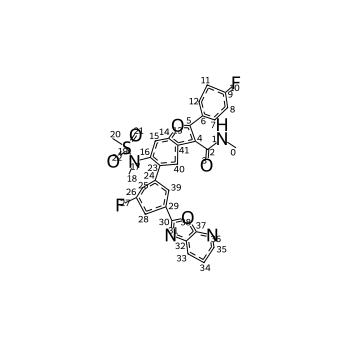 CNC(=O)c1c(-c2ccc(F)cc2)oc2cc(N(C)S(C)(=O)=O)c(-c3cc(F)cc(-c4nc5cccnc5o4)c3)cc12